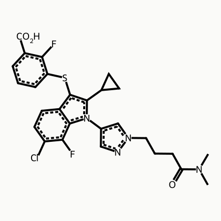 CN(C)C(=O)CCCn1cc(-n2c(C3CC3)c(Sc3cccc(C(=O)O)c3F)c3ccc(Cl)c(F)c32)cn1